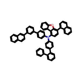 c1ccc(-c2ccccc2-c2ccc(N(c3ccc(-c4cccc(-c5ccc6ccccc6c5)c4)cc3)c3ccc(-c4cccc5ccccc45)c4oc5ccccc5c34)cc2)cc1